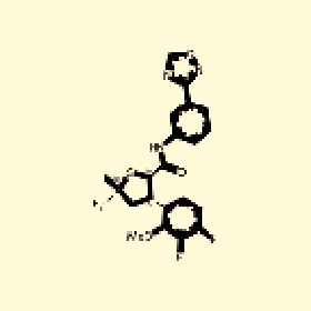 COc1c([C@@H]2C[C@](C)(C(F)(F)F)S[C@H]2C(=O)Nc2cccc(-c3ncon3)c2)ccc(F)c1F